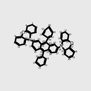 C1=CC2=C(CC1)Oc1ccccc1N2c1ccc2c(-c3ccccc3)c3ccc(N4C5=C(CCC=C5)Oc5ccccc54)cc3c(-c3ccccc3)c2c1